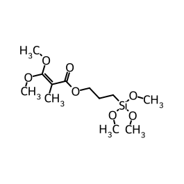 COC(OC)=C(C)C(=O)OCCC[Si](OC)(OC)OC